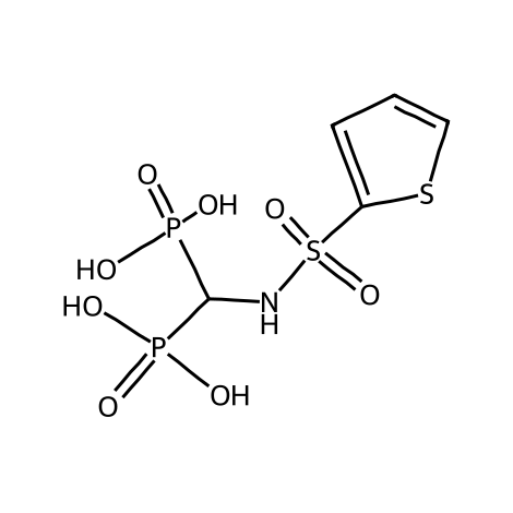 O=P(O)(O)C(NS(=O)(=O)c1cccs1)P(=O)(O)O